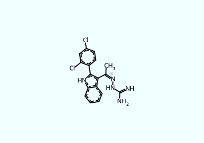 C/C(=N/NC(=N)N)c1c(-c2ccc(Cl)cc2Cl)[nH]c2ccccc12